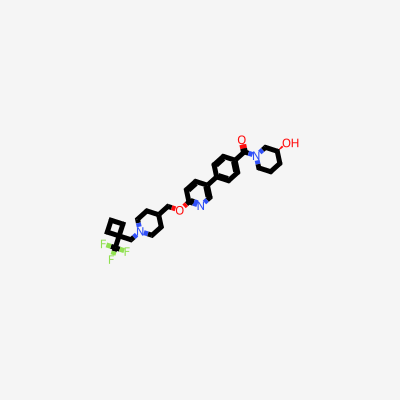 O=C(c1ccc(-c2ccc(OCC3CCN(CC4(C(F)(F)F)CCC4)CC3)nc2)cc1)N1CCC[C@@H](O)C1